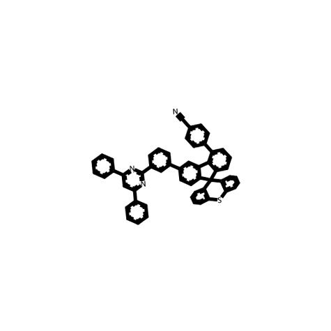 N#Cc1ccc(-c2cccc3c2-c2cc(-c4cccc(-c5nc(-c6ccccc6)cc(-c6ccccc6)n5)c4)ccc2C32c3ccccc3Sc3ccccc32)cc1